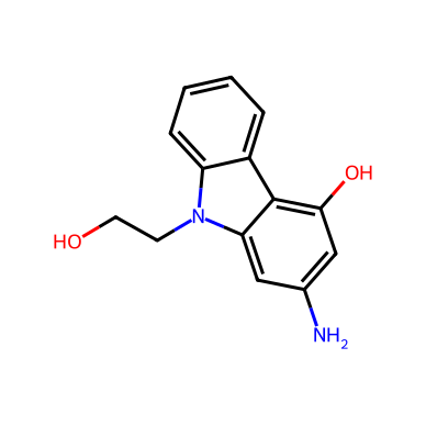 Nc1cc(O)c2c3ccccc3n(CCO)c2c1